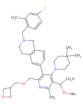 Cc1cc(F)ccc1CN1CCc2cc(-c3c(COCC4COC4)nc(C)c(C(OC(C)(C)C)C(=O)O)c3N3CCC(C)(C)CC3)ccc2C1